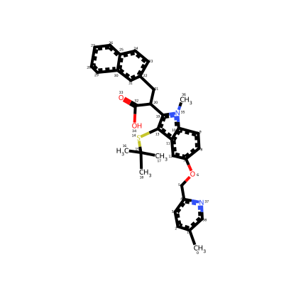 Cc1ccc(COc2ccc3c(c2)c(SC(C)(C)C)c(C(Cc2ccc4ccccc4c2)C(=O)O)n3C)nc1